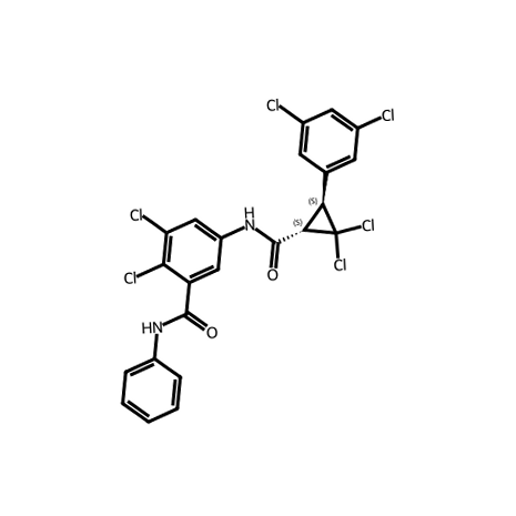 O=C(Nc1ccccc1)c1cc(NC(=O)[C@@H]2[C@@H](c3cc(Cl)cc(Cl)c3)C2(Cl)Cl)cc(Cl)c1Cl